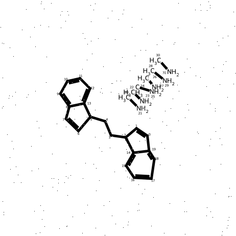 C1=CC(CCC2C=Cc3ccccc32)c2ccccc21.CN.CN.CN.CN.CN.CN